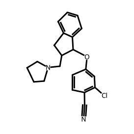 N#Cc1ccc(OC2c3ccccc3CC2CN2CCCC2)cc1Cl